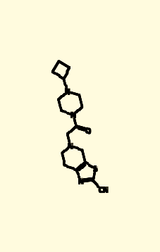 N#Cc1nc2c(s1)CN(CC(=O)N1CCN(C3CCC3)CC1)CC2